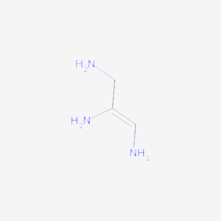 NC=C(N)CN